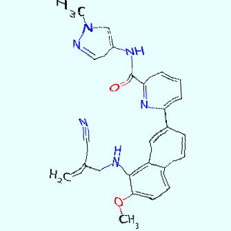 C=C(C#N)CNc1c(OC)ccc2ccc(-c3cccc(C(=O)Nc4cnn(C)c4)n3)cc12